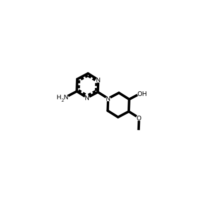 COC1CCN(c2nccc(N)n2)CC1O